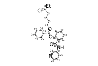 CCC(Cl)CCCCOC(Oc1ccccc1C(=O)Nc1cccnc1)c1ccccc1